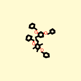 Cc1c(C)c(OCc2ccccc2)c(C=CCc2ccc(OCc3ccccc3)cc2OCc2ccccc2)c(C)c1OCc1ccccc1